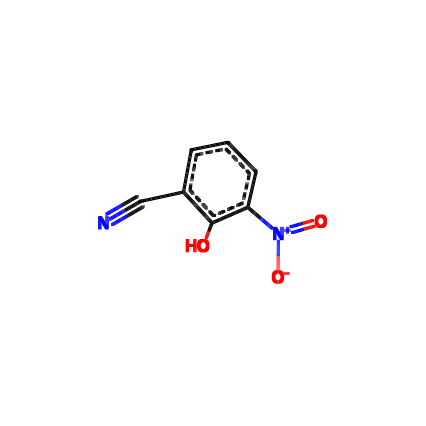 N#Cc1cccc([N+](=O)[O-])c1O